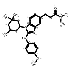 CC1CC(n2c(Nc3ccc(OC(F)(F)F)cc3)nc3cc(CCC(=O)N(C)C)ccc32)CC(C)(C)C1